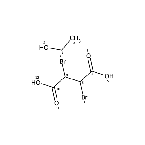 CCO.O=C(O)C(Br)C(Br)C(=O)O